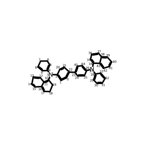 C1=C=C(N(C2=CCCC=C2)C2=c3ccccc3=CCC2)C=CC=1c1ccc(N(c2ccccc2)c2cccc3ccccc23)cc1